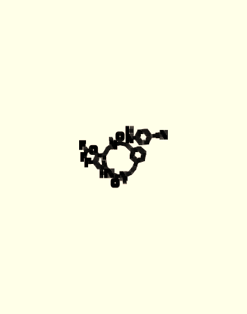 CN1CCc2cccc(c2)[C@@H](Nc2ccc(C#N)cc2)C(=O)N(C)Cc2cc(cc(F)c2OC(F)F)NC1=O